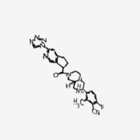 Cc1c([C@@H]2CN3CCN(C(=O)C4CCc5cc(-n6cnnn6)ncc54)C[C@H]3CN2)ccc(F)c1C#N